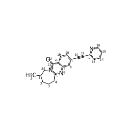 CC1CCCc2nc3cc(C#Cc4ccccn4)ccc3c(=O)n2C1